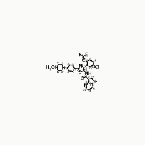 CN1CCN(c2ccc(-c3nc(-c4cc(Cl)ccc4OC(F)F)c(NC(=O)c4cnn5cccnc45)s3)cc2)CC1